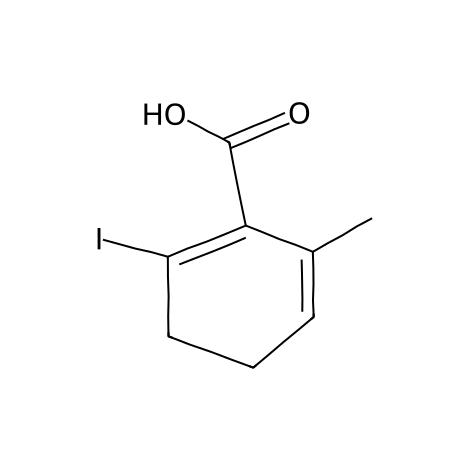 CC1=CCCC(I)=C1C(=O)O